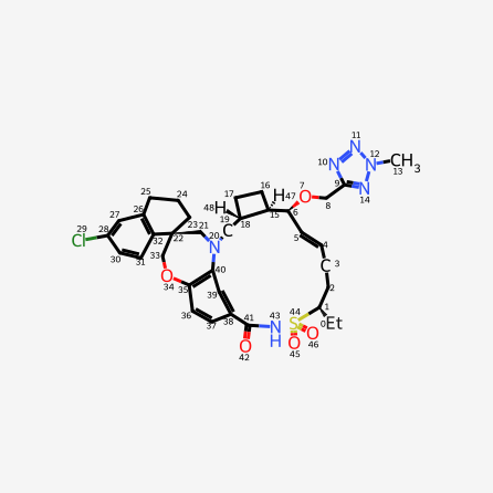 CC[C@@H]1CC/C=C/[C@H](OCc2nnn(C)n2)[C@@H]2CC[C@H]2CN2C[C@@]3(CCCc4cc(Cl)ccc43)COc3ccc(cc32)C(=O)NS1(=O)=O